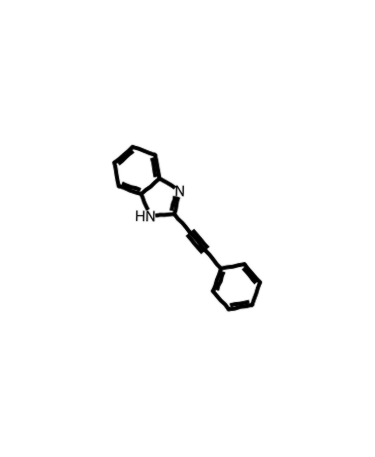 C(#Cc1nc2ccccc2[nH]1)c1ccccc1